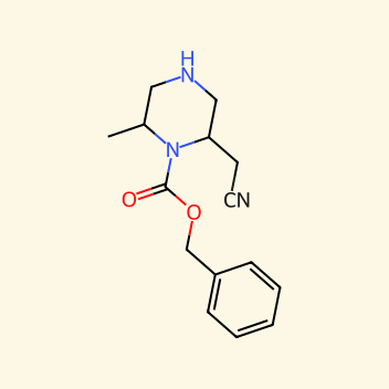 CC1CNCC(CC#N)N1C(=O)OCc1ccccc1